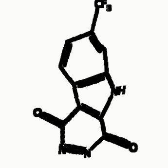 O=C1N=NC(=O)c2c1[nH]c1cc(C(F)(F)F)ccc21